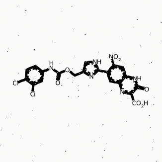 O=C(Nc1ccc(Cl)c(Cl)c1)OCc1c[nH]c(-c2cc3nc(C(=O)O)c(=O)[nH]c3cc2[N+](=O)[O-])n1